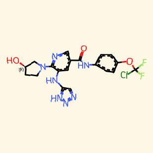 O=C(Nc1ccc(OC(F)(F)Cl)cc1)c1cnc(N2CC[C@@H](O)C2)c(Nc2cnn[nH]2)c1